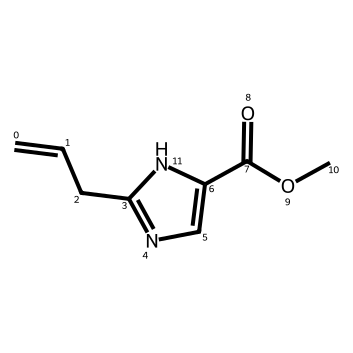 C=CCc1ncc(C(=O)OC)[nH]1